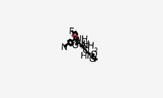 CC(C)(C)OC(=O)NCCOC[C@H](N)CNC(=O)c1[nH]c2ccc(F)cc2c1-c1ccc(C#N)cc1